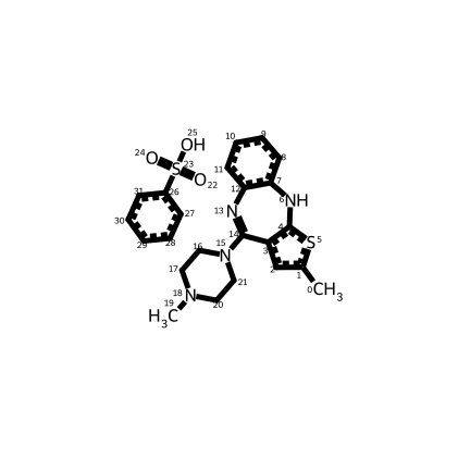 Cc1cc2c(s1)Nc1ccccc1N=C2N1CCN(C)CC1.O=S(=O)(O)c1ccccc1